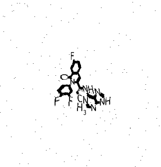 CC[C@H](Nc1ncnc2[nH]cnc12)c1cc2ccc(F)cc2c(=O)n1-c1ccc(F)c(F)c1